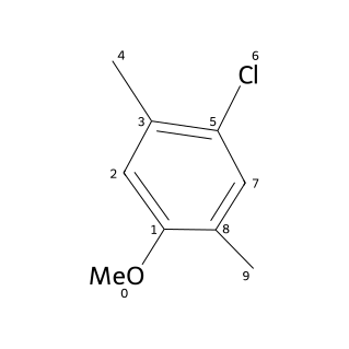 [CH2]Oc1cc(C)c(Cl)cc1C